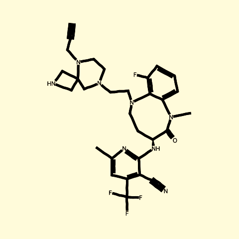 C#CCN1CCN(CCN2CC[C@H](Nc3nc(C)cc(C(F)(F)F)c3C#N)C(=O)N(C)c3cccc(F)c32)CC12CNC2